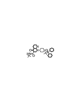 CC(C)(C)NC(=O)c1cn([C@H]2CC[C@H](O[Si](c3ccccc3)(c3ccccc3)C(C)(C)C)CC2)c2ncccc2c1=O